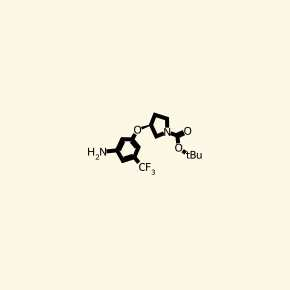 CC(C)(C)OC(=O)N1CC[C@H](Oc2cc(N)cc(C(F)(F)F)c2)C1